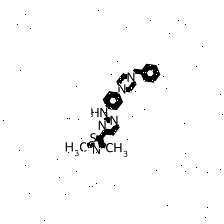 Cc1nc(C)c(-c2ccnc(Nc3ccc(N4CCN(Cc5ccccc5)CC4)cc3)n2)s1